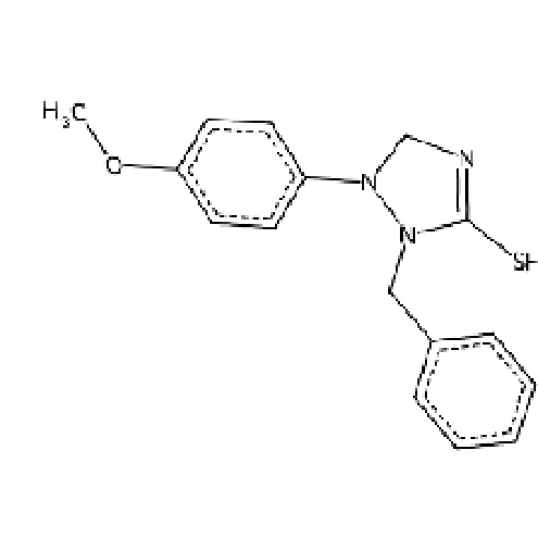 COc1ccc(N2CN=C(S)N2Cc2ccccc2)cc1